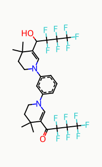 CC1(C)CCN(c2cccc(N3C=C(C(O)C(F)(F)C(F)(F)C(F)(F)F)C(C)(C)CC3)c2)C=C1C(=O)C(F)(F)C(F)(F)C(F)(F)F